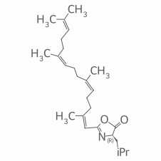 CC(C)=CCCC(C)=CCCC(C)=CCCC(C)=CC1=N[C@H](CC(C)C)C(=O)O1